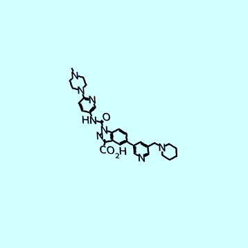 CN1CCN(c2ccc(NC(=O)n3nc(C(=O)O)c4cc(-c5cncc(CN6CCCCC6)c5)ccc43)cn2)CC1